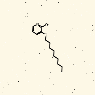 CCCCCCCCCOc1cccnc1[O]